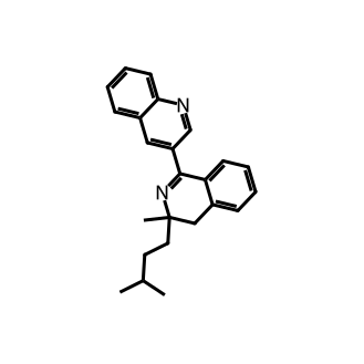 CC(C)CCC1(C)Cc2ccccc2C(c2cnc3ccccc3c2)=N1